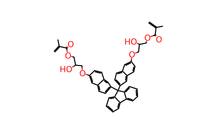 C=C(C)C(=O)OCC(O)COc1ccc2cc(C3(c4ccc5cc(OCC(O)COC(=O)C(=C)C)ccc5c4)c4ccccc4-c4ccccc43)ccc2c1